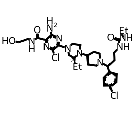 CCNC(=O)NCCC(c1ccc(Cl)cc1)N1CCC(N2CCN(c3nc(N)c(C(=O)NCCO)nc3Cl)C[C@@H]2CC)CC1